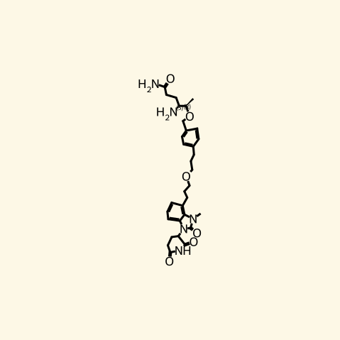 C[C@@H](OCc1ccc(CCCOCCCc2cccc3c2n(C)c(=O)n3C2CCC(=O)NC2=O)cc1)[C@@H](N)CCC(N)=O